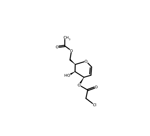 CC(=O)OC[C@H]1OC=C[C@@H](OC(=O)CCl)[C@H]1O